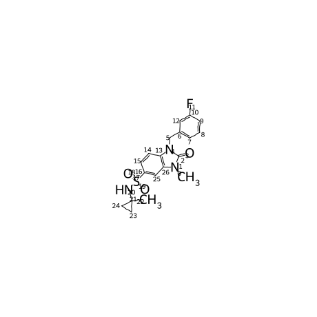 Cn1c(=O)n(Cc2cccc(F)c2)c2ccc(S(=O)(=O)NC3(C)CC3)cc21